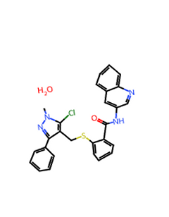 Cn1nc(-c2ccccc2)c(CSc2ccccc2C(=O)Nc2cnc3ccccc3c2)c1Cl.O